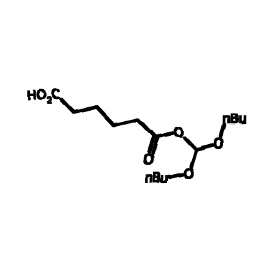 CCCCOC(OCCCC)OC(=O)CCCCC(=O)O